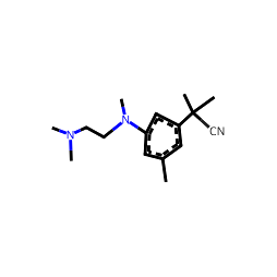 Cc1cc(N(C)CCN(C)C)cc(C(C)(C)C#N)c1